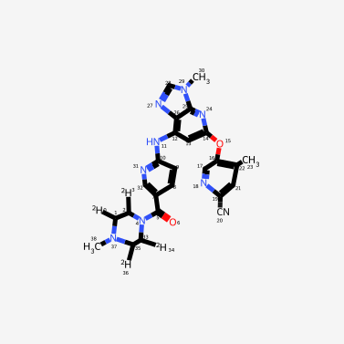 [2H]C1C([2H])N(C(=O)c2ccc(Nc3cc(Oc4cnc(C#N)cc4C)nc4c3ncn4C)nc2)C([2H])C([2H])N1C